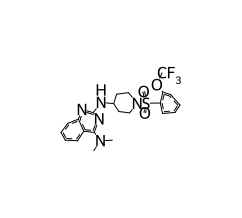 CN(C)c1nc(NC2CCN(S(=O)(=O)c3ccccc3OC(F)(F)F)CC2)nc2ccccc12